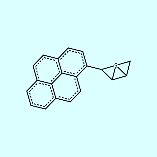 c1cc2ccc3ccc(C4C5C6CS645)c4ccc(c1)c2c34